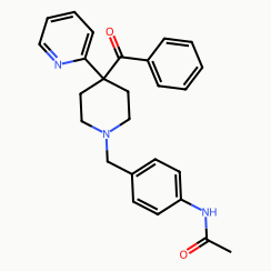 CC(=O)Nc1ccc(CN2CCC(C(=O)c3ccccc3)(c3ccccn3)CC2)cc1